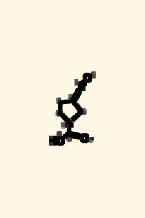 O=C=C1CCN(C(=O)O)C1